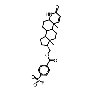 C[C@]12C=CC(=O)NC1CCC1C2CC[C@@]2(C)C1CC[C@@H]2COC(=O)c1ccc(S(=O)(=O)F)cc1